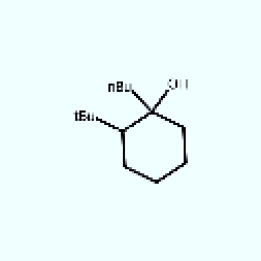 CCCCC1(O)CCCCC1C(C)(C)C